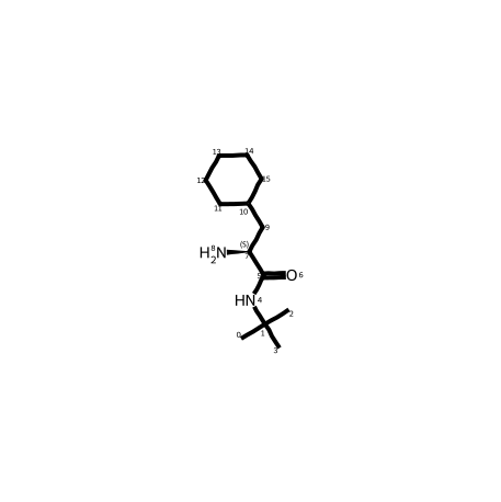 CC(C)(C)NC(=O)[C@@H](N)CC1CCCCC1